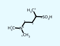 CC(CCN(C)C)S(=O)(=O)O